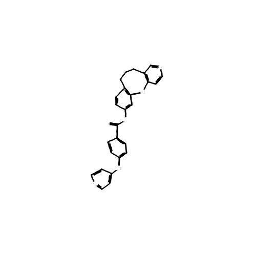 O=C(Nc1ccc2c(c1)Nc1ccncc1CCC2)c1ccc(Nc2ccncc2)cc1